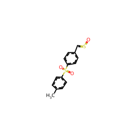 Cc1ccc(S(=O)(=O)c2ccc(C=S=O)cc2)cc1